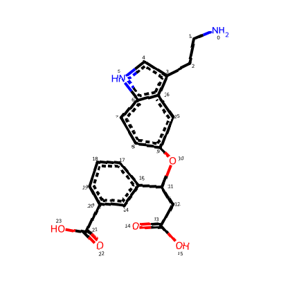 NCCc1c[nH]c2ccc(OC(CC(=O)O)c3cccc(C(=O)O)c3)cc12